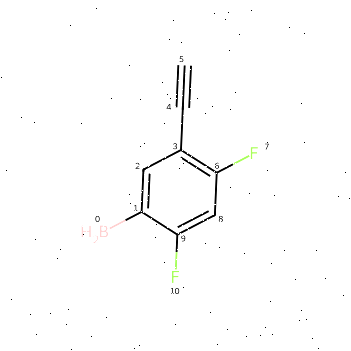 Bc1cc(C#C)c(F)cc1F